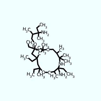 CCC1(CC(C)(CC)OCC(C)C(C)(N)CC)CC(C)(C)OCC(C)C(C)(C)NC(N)(CC)C(C)COC(C)(CC)C1